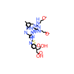 COCCCNc1nc(NCCCOC)c(N=Nc2nn(-c3nc4ccc(C(CC(=O)O)CC(=O)O)cc4s3)cc2C#N)c(Nc2c(C)cc(C)cc2C)n1